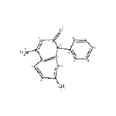 Cc1ccc2c(N)nc(=O)n(-c3ccccc3)c2n1